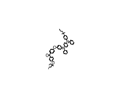 CCCC(C)(CC)Oc1ccc(C(=O)c2ccc(Oc3ccc(N(c4ccccc4)c4ccc(N(c5ccccc5)c5ccc(C(C)(C)CCC)cc5)cc4)cc3)cc2)cc1